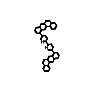 c1cc(-c2ccc(-c3ccc(-c4cccc5cc6ccc7ccccc7c6cc45)cn3)nc2)c2cc3ccc4ccccc4c3cc2c1